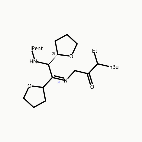 CCCCC(CC)C(=O)C/N=C(/C1CCCO1)C(NC(C)CCC)[C@@H]1CCCO1